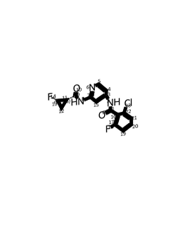 O=C(Nc1ccnc(NC(=O)[C@@H]2C[C@@H]2F)c1)c1c(F)cccc1Cl